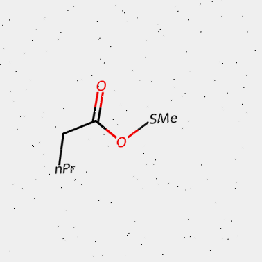 CCCCC(=O)OSC